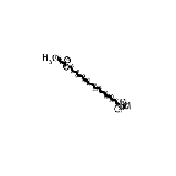 CC=CC(=O)OCCCCCCCCCCCCCCCCCC[Si](Cl)(Cl)Cl